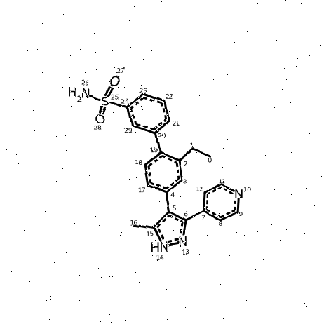 CCc1cc(-c2c(-c3ccncc3)n[nH]c2C)ccc1-c1cccc(S(N)(=O)=O)c1